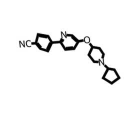 N#Cc1ccc(-c2ccc(OC3CCN(C4CCCC4)CC3)cn2)cc1